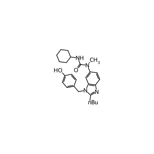 CCCCc1nc2ccc(N(C)C(=O)NC3CCCCC3)cc2n1Cc1ccc(O)cc1